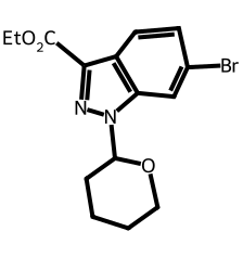 CCOC(=O)c1nn(C2CCCCO2)c2cc(Br)ccc12